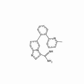 Cc1cccc(-c2ccccc2-c2ccc3ncc(C(=N)N)n3c2)n1